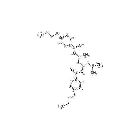 CCCCc1ccc(C(=O)O[C@@H](CC(C)C)C[C@@H](C)OC(=O)c2ccc(CCCC)cc2)cc1